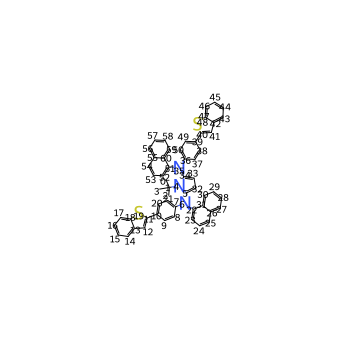 CC(C)(C)n1c(N(c2ccc(-c3cc4ccccc4s3)cc2)c2cccc3ccccc23)ccc1N(c1ccc(-c2cc3ccccc3s2)cc1)c1cccc2ccccc12